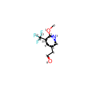 COc1ncc(CC=O)cc1C(F)(F)F